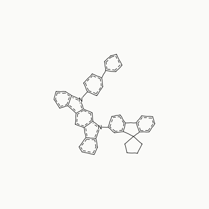 c1ccc(-c2ccc(-n3c4ccccc4c4cc5c6ccccc6n(-c6ccc7c(c6)C6(CCCC6)c6ccccc6-7)c5cc43)cc2)cc1